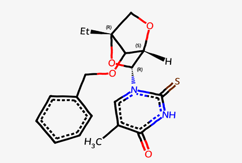 CC[C@@]12CO[C@@H](C1OCc1ccccc1)[C@H](n1cc(C)c(=O)[nH]c1=S)O2